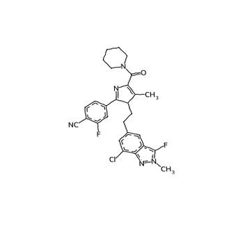 CC1=C(C(=O)N2CCCCC2)N=C(c2ccc(C#N)c(F)c2)C1CCc1cc(Cl)c2nn(C)c(F)c2c1